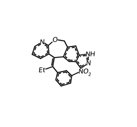 CCC(=C1c2cc3cn[nH]c3cc2COc2ncccc21)c1cccc([N+](=O)[O-])c1